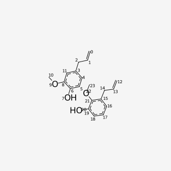 C=CCc1ccc(O)c(OC)c1.C=CCc1cccc(O)c1OC